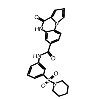 O=C(Nc1cccc(S(=O)(=O)N2CCCCC2)c1)c1ccc2c(c1)[nH]c(=O)c1cccn12